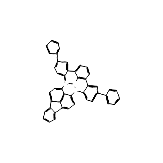 c1ccc(-c2ccc3c(c2)-c2cccc4c2B2N3c3ccc5c6c(ccc(c36)N2c2ccc(-c3ccccc3)cc2-4)-c2ccccc2-5)cc1